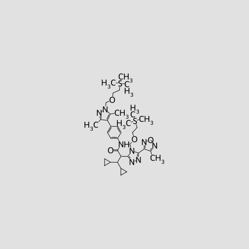 Cc1nonc1-c1nnc(C(C(=O)Nc2ccc(-c3c(C)nn(COCCS(C)(C)C)c3C)cc2)C(C2CC2)C2CC2)n1COCCS(C)(C)C